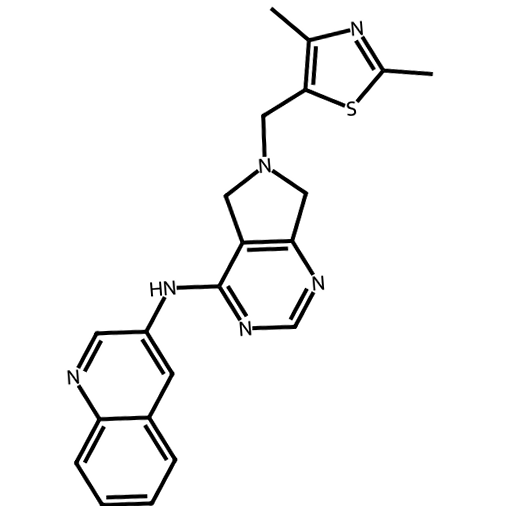 Cc1nc(C)c(CN2Cc3ncnc(Nc4cnc5ccccc5c4)c3C2)s1